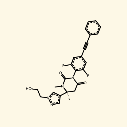 CN1C(=O)N(c2c(F)cc(C#Cc3ccccc3)cc2F)C(=O)C[C@@]1(C)c1cnn(CCO)c1